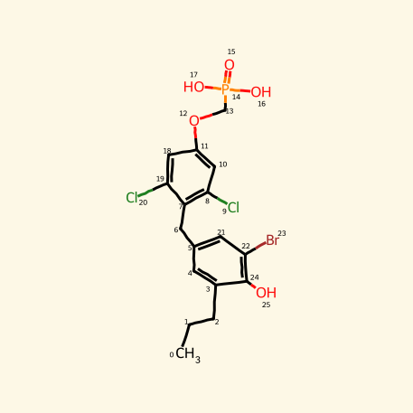 CCCc1cc(Cc2c(Cl)cc(OCP(=O)(O)O)cc2Cl)cc(Br)c1O